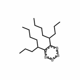 CCCCC(CCC)c1bbbbc1C(CCC)CCCC